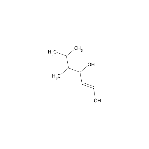 CC(C)C(C)C(O)C=CO